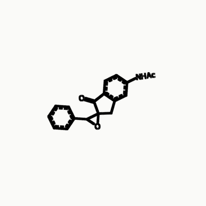 CC(=O)Nc1ccc2c(c1)CC1(OC1c1ccccc1)C2=O